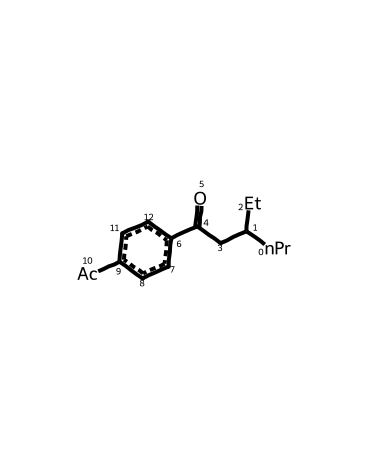 CCCC(CC)CC(=O)c1ccc(C(C)=O)cc1